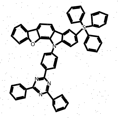 c1ccc(-c2nc(-c3ccccc3)nc(-c3ccc(-n4c5ccc(S(c6ccccc6)(c6ccccc6)c6ccccc6)cc5c5ccc6c7ccccc7oc6c54)cc3)n2)cc1